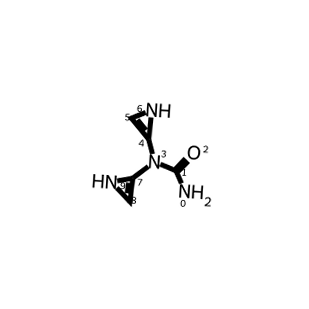 NC(=O)N(C1=CN1)C1=CN1